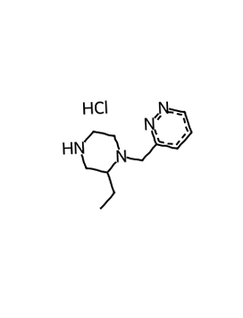 CCC1CNCCN1Cc1cccnn1.Cl